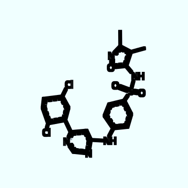 Cc1noc(NS(=O)(=O)c2ccc(Nc3cc(-c4cc(Cl)ccc4Cl)ncn3)cc2)c1C